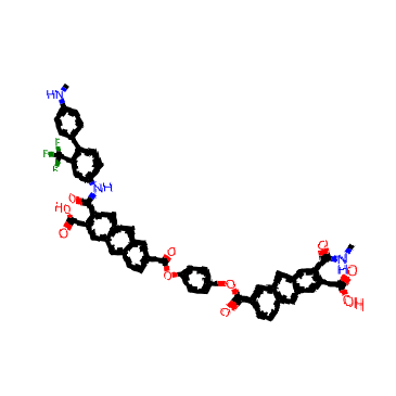 CNC(=O)c1cc2cc3cc(C(=O)Oc4ccc(OC(=O)c5ccc6cc7cc(C(=O)O)c(C(=O)Nc8ccc(-c9ccc(NC)cc9)c(C(F)(F)F)c8)cc7cc6c5)cc4)ccc3cc2cc1C(=O)O